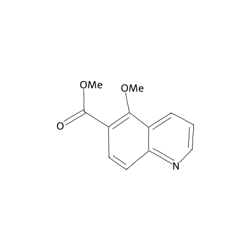 COC(=O)c1ccc2ncccc2c1OC